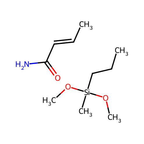 CC=CC(N)=O.CCC[Si](C)(OC)OC